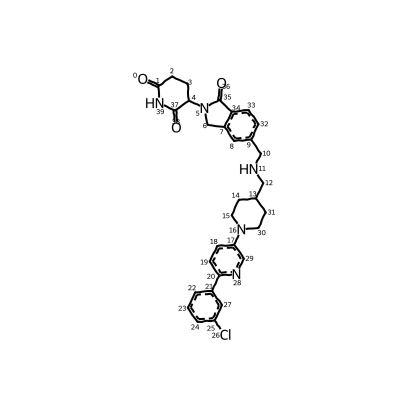 O=C1CCC(N2Cc3cc(CNCC4CCN(c5ccc(-c6cccc(Cl)c6)nc5)CC4)ccc3C2=O)C(=O)N1